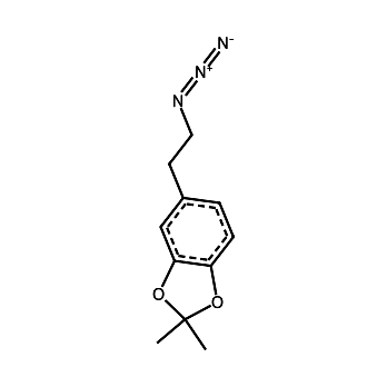 CC1(C)Oc2ccc(CCN=[N+]=[N-])cc2O1